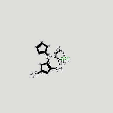 CC1=CC(C)=[C]([Zr+2]([C]2=CC=CC2)=[Si](C)C)C1.[Cl-].[Cl-]